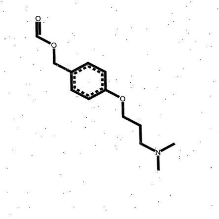 CN(C)CCCOc1ccc(COC=O)cc1